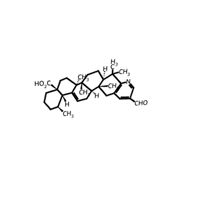 C[C@H]1CCC[C@]2(C(=O)O)CC[C@]3(C)C(=CC[C@@H]4[C@@]5(C)Cc6cc(C=O)cnc6C(C)(C)[C@@H]5CC[C@]43C)[C@H]12